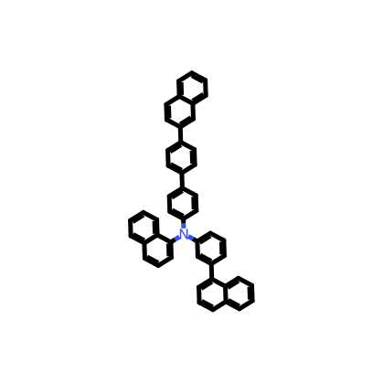 c1cc(-c2cccc3ccccc23)cc(N(c2ccc(-c3ccc(-c4ccc5ccccc5c4)cc3)cc2)c2cccc3ccccc23)c1